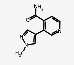 Cn1cc(-c2cnccc2C(N)=O)cn1